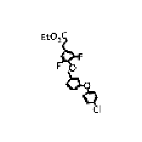 CCOC(=O)CCc1cc(F)c(OCc2cccc(Oc3ccc(Cl)cc3)c2)c(F)c1